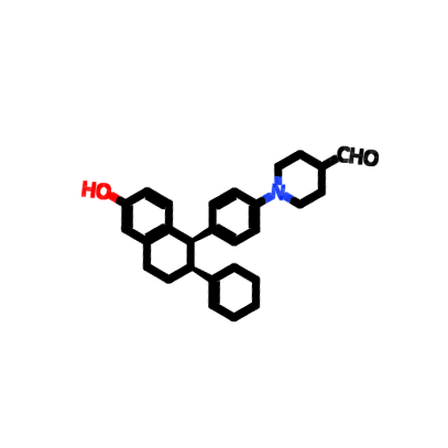 O=CC1CCN(c2ccc([C@@H]3c4ccc(O)cc4CC[C@@H]3C3=CCCCC3)cc2)CC1